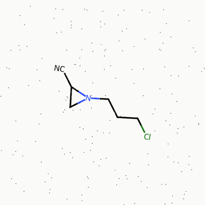 N#CC1CN1CCCCl